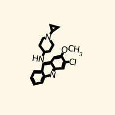 COc1cc2c(NC3CCN(C4CC4)CC3)c3ccccc3nc2cc1Cl